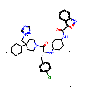 O=C(NC1CCC(N[C@H](Cc2ccc(Cl)cc2)C(=O)N2CCC(Cn3cncn3)(C3CCCCC3)CC2)CC1)c1onc2ccccc12